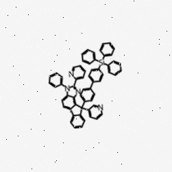 c1ccc(-n2c(-c3ccccn3)nc3c4c(ccc32)-c2ccccc2C4(c2ccc(-c3ccc([Si](c4ccccc4)(c4ccccc4)c4ccccc4)cc3)cc2)c2cccnc2)cc1